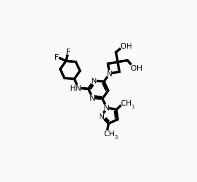 Cc1cc(C)n(-c2cc(N3CC(CO)(CO)C3)nc(NC3CCC(F)(F)CC3)n2)n1